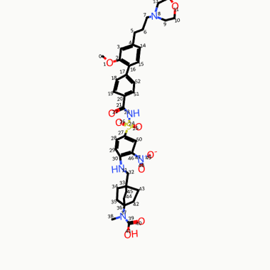 COc1cc(CCCN2CCOCC2)ccc1-c1ccc(C(=O)NS(=O)(=O)c2ccc(NCC34CCC(N(C)C(=O)O)(CC3)CC4)c([N+](=O)[O-])c2)cc1